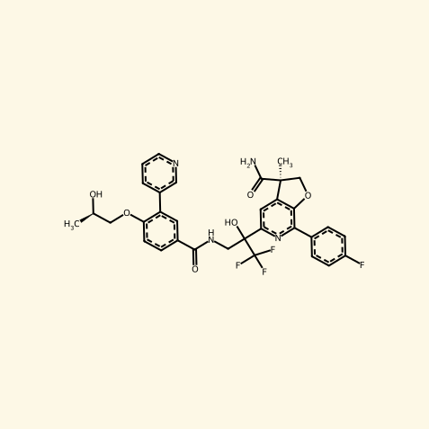 C[C@@H](O)COc1ccc(C(=O)NCC(O)(c2cc3c(c(-c4ccc(F)cc4)n2)OC[C@]3(C)C(N)=O)C(F)(F)F)cc1-c1cccnc1